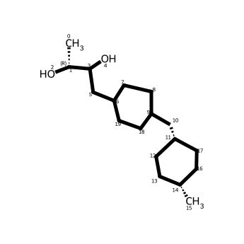 C[C@@H](O)C(O)CC1CCC(C[C@H]2CC[C@@H](C)CC2)CC1